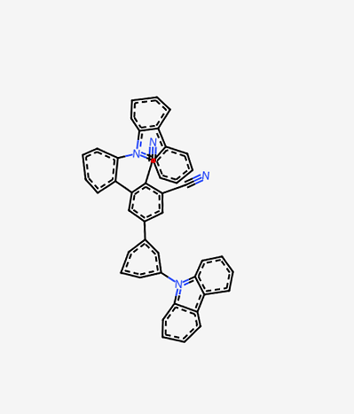 N#Cc1cc(-c2cccc(-n3c4ccccc4c4ccccc43)c2)cc(-c2ccccc2-n2c3ccccc3c3ccccc32)c1C#N